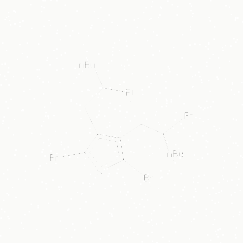 CCCCC(CC)Cc1c(Br)sc(Br)c1CC(CC)CCCC